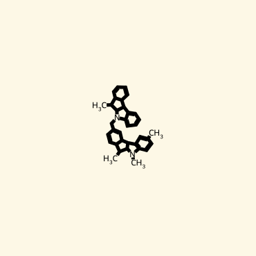 Cc1ccc2c(c1)C1C3C=C(CN4c5ccccc5C5C6C=CC=CC6C(C)C54)C=CC3C(C)C1N2C